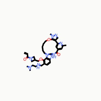 C=CC(=O)N1CC(COc2c(CNCCN(C)C)ccc3c2N2CCCCCOc4c(cnn4C)-c4cc(cc(C)n4)C(=O)/N=C/2N3)C1